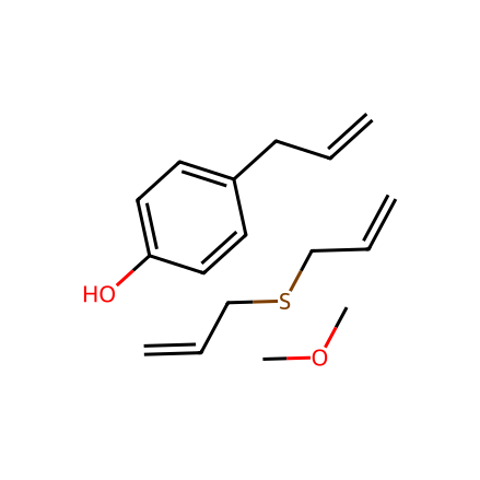 C=CCSCC=C.C=CCc1ccc(O)cc1.COC